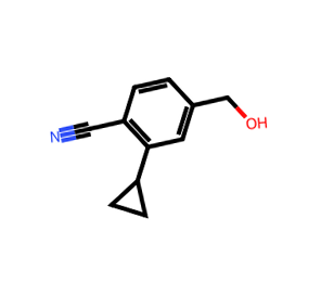 N#Cc1ccc(CO)cc1C1CC1